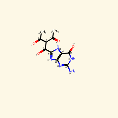 CC(=O)C(C(C)=O)C(=O)c1nc2nc(N)[nH]c(=O)c2[nH]1